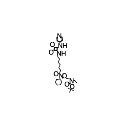 CCN(CCON(C(=O)CCCCCCNc1c(Nc2ccncc2)c(=O)c1=O)C1CCCCC1)C(=O)OC(C)(C)C